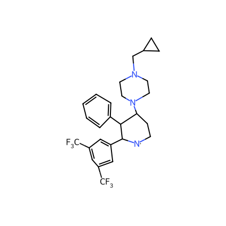 FC(F)(F)c1cc(C2[N]CCC(N3CCN(CC4CC4)CC3)C2c2ccccc2)cc(C(F)(F)F)c1